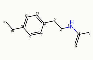 C=C(C)NCCc1ccc(CC)cc1